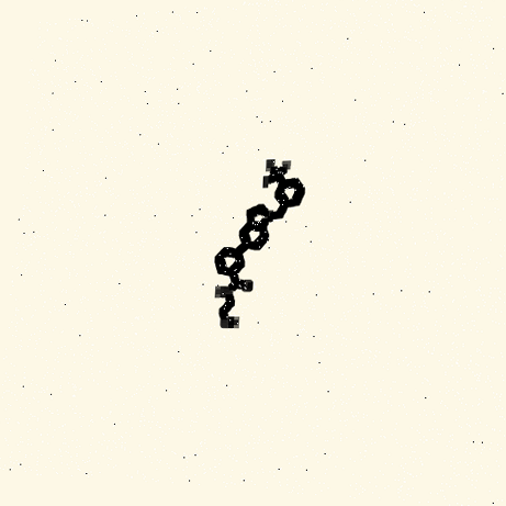 O=C(NCCO)c1cccc(-c2ccc3c(ccn3Cc3cccc(C(F)(F)F)c3)c2)c1